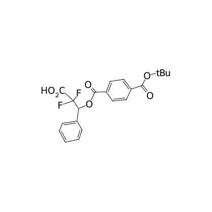 CC(C)(C)OC(=O)c1ccc(C(=O)OC(c2ccccc2)C(F)(F)C(=O)O)cc1